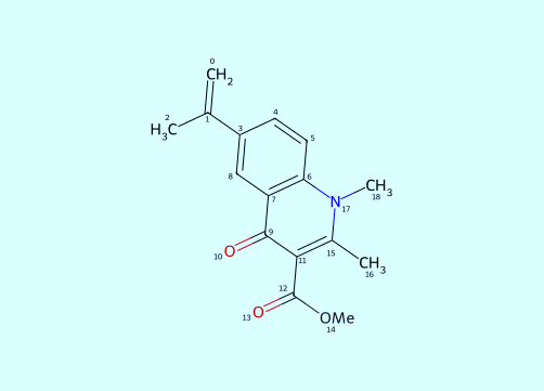 C=C(C)c1ccc2c(c1)c(=O)c(C(=O)OC)c(C)n2C